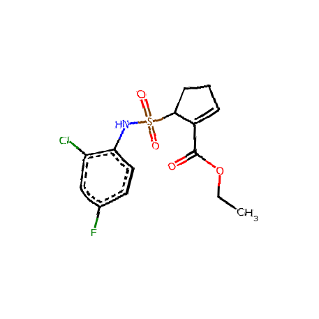 CCOC(=O)C1=CCCC1S(=O)(=O)Nc1ccc(F)cc1Cl